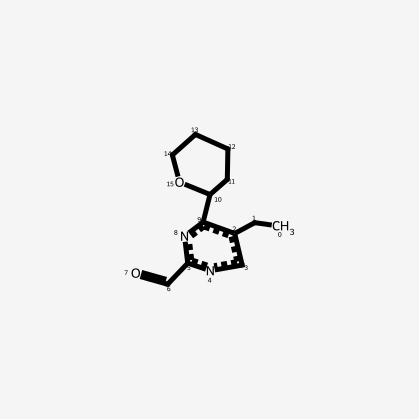 CCc1cnc(C=O)nc1C1CCCCO1